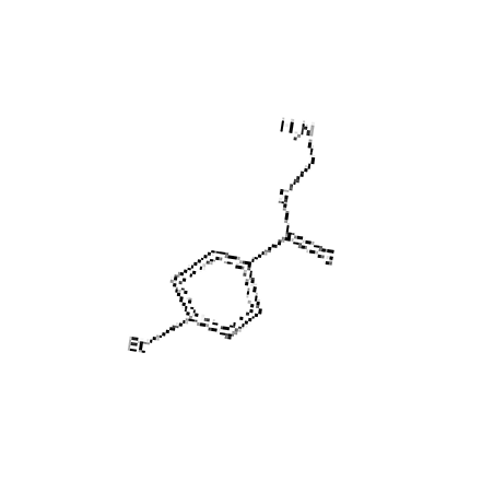 CCc1ccc(C(=S)SCN)cc1